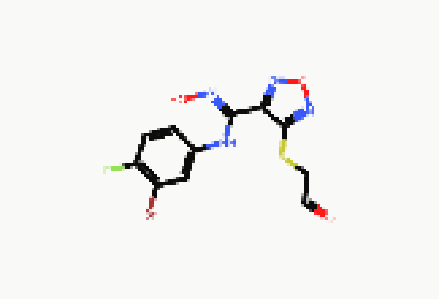 O=CCSc1nonc1/C(=N/O)Nc1ccc(F)c(Br)c1